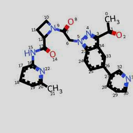 CC(=O)c1nn(CC(=O)N2CCC2C(=O)Nc2cccc(C)n2)c2ccc(-c3cccnc3)cc12